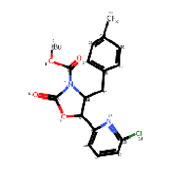 CC(C)(C)OC(=O)N1C(=O)OC(c2cccc(Cl)n2)C1Cc1ccc(C(F)(F)F)cc1